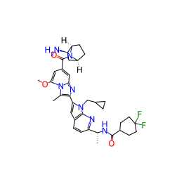 COc1cc(C(=O)N2[C@H]3CC[C@@H]2[C@H](N)C3)cc2nc(-c3cc4ccc([C@@H](C)NC(=O)C5CCC(F)(F)CC5)nc4n3CC3CC3)c(C)n12